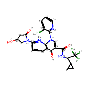 O=C(NC(C1CC1)C(F)(F)F)c1cn(-c2ncccc2F)c2nc(N3CC(O)CC3=O)ccc2c1=O